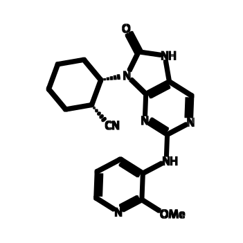 COc1ncccc1Nc1ncc2[nH]c(=O)n([C@H]3CCCC[C@H]3C#N)c2n1